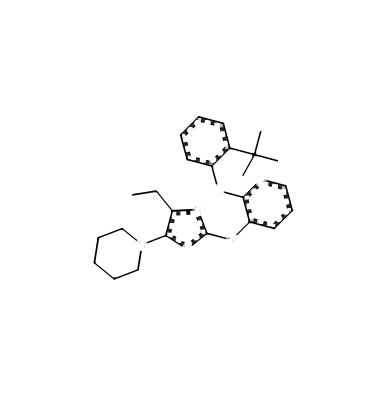 CCc1nc(Nc2cccnc2Oc2ccccc2C(C)(C)C)sc1N1CCCCC1